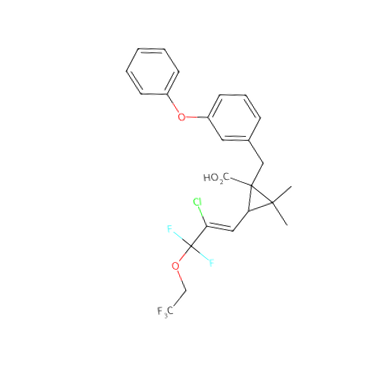 CC1(C)C(C=C(Cl)C(F)(F)OCC(F)(F)F)C1(Cc1cccc(Oc2ccccc2)c1)C(=O)O